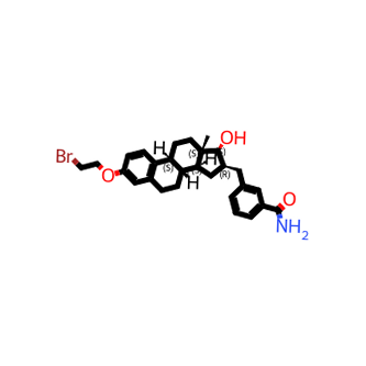 C[C@]12CC[C@@H]3c4ccc(OCCBr)cc4CC[C@H]3[C@@H]1C[C@H](Cc1cccc(C(N)=O)c1)[C@@H]2O